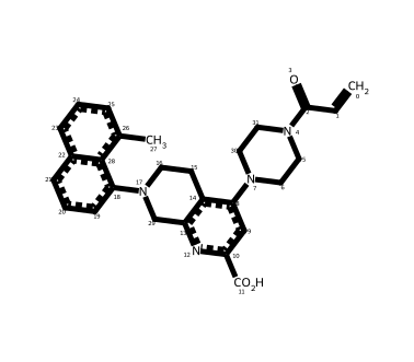 C=CC(=O)N1CCN(c2cc(C(=O)O)nc3c2CCN(c2cccc4cccc(C)c24)C3)CC1